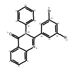 O=c1c2ccccc2nc(-c2cc(Br)cc(Br)c2)n1-c1ccccc1